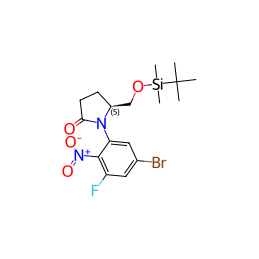 CC(C)(C)[Si](C)(C)OC[C@@H]1CCC(=O)N1c1cc(Br)cc(F)c1[N+](=O)[O-]